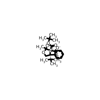 CC(C)(C)OC(=O)[N+]1(C([O-])=S)C(C)(C)OC[C@@]1(c1ccccc1)C(C)(C)C